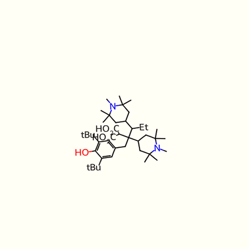 CCC(C1CC(C)(C)N(C)C(C)(C)C1)C(Cc1cc(C(C)(C)C)c(O)c(C(C)(C)C)c1)(C1CC(C)(C)N(C)C(C)(C)C1)C(C(=O)O)C(=O)O